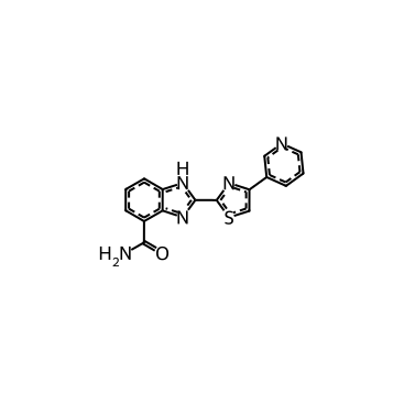 NC(=O)c1cccc2[nH]c(-c3nc(-c4cccnc4)cs3)nc12